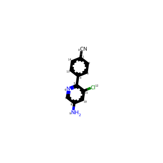 N#Cc1ccc(-c2ncc(N)cc2Cl)cc1